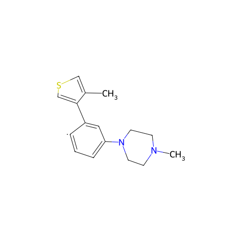 Cc1cscc1-c1[c]ccc(N2CCN(C)CC2)c1